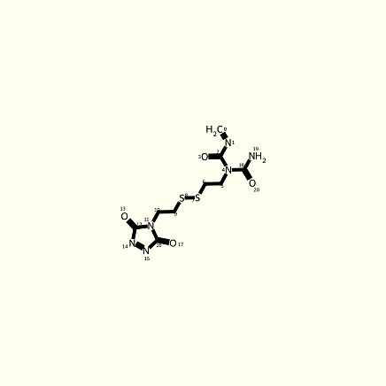 C=NC(=O)N(CCSSCCN1C(=O)N=NC1=O)C(N)=O